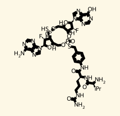 CC(C)[C@H](N)C(=O)N[C@@H](CCCNC(N)=O)C(=O)Nc1ccc(CSP2(=O)OC[C@H]3O[C@@H](n4cnc5c(N)ncnc54)[C@H](F)[C@@H]3P(=O)(S)OC[C@H]3O[C@@H](n4cnc5c(O)ncnc54)[C@H](F)[C@@H]3O2)cc1